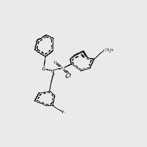 O=C(O)c1ccc(S(=O)(=O)N(Oc2ccccc2)c2cccc(F)c2)cc1